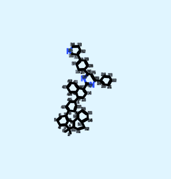 CC1(C)c2cccc(-c3ccc(-c4ccc(-c5nc(-c6ccccc6)cc(-c6ccc(-c7cccnc7)cc6)n5)c5ccccc45)cc3)c2-c2c1ccc1ccccc21